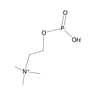 C[N+](C)(C)CCO[P](=O)O